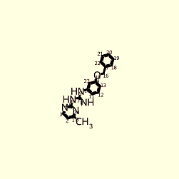 Cc1ccnc(NC(=N)Nc2cccc(OCc3ccccc3)c2)n1